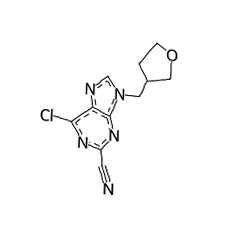 N#Cc1nc(Cl)c2ncn(CC3CCOC3)c2n1